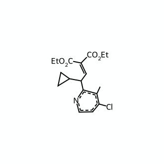 CCOC(=O)C(=CC(c1nccc(Cl)c1C)C1CC1)C(=O)OCC